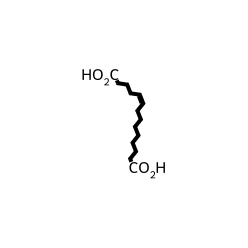 O=C(O)CCC/C=C\CCCCCCCC(=O)O